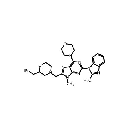 Cc1nc2ccccc2n1-c1nc(N2CCOCC2)c2nc(CN3CCOC(CC(C)C)C3)n(C)c2n1